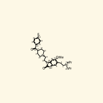 CCCN(CCC)CCc1cc2sc(=O)n(CCN3CCC(C(=O)c4ccc(F)cc4)CC3)c2cc1OC